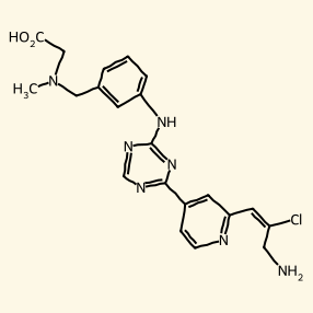 CN(CC(=O)O)Cc1cccc(Nc2ncnc(-c3ccnc(/C=C(/Cl)CN)c3)n2)c1